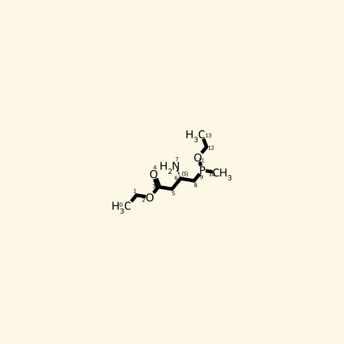 CCOC(=O)C[C@H](N)CP(C)OCC